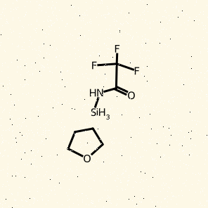 C1CCOC1.O=C(N[SiH3])C(F)(F)F